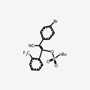 CCCCS(=O)(=O)OC(=C(C#N)c1ccc(Br)cc1)c1ccccc1C(F)(F)F